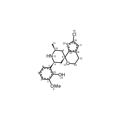 COc1cccc([C@@H]2C[C@]3(C[C@H](C)N2)OCCc2cc(Cl)sc23)c1O